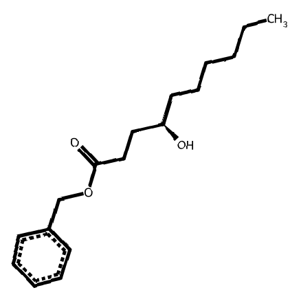 CCCCCC[C@@H](O)CCC(=O)OCc1ccccc1